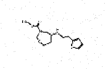 CC(C)(C)OC(=O)N1CCCCC(NCCc2cccs2)C1